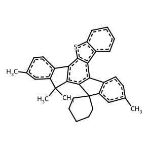 Cc1ccc2c(c1)C(C)(C)c1c3c(c4c(sc5ccccc54)c1-2)-c1ccc(C)cc1C31CCCCC1